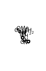 C=C/C=N\C(Oc1ccc(C(=O)c2nc3ccccc3[nH]2)cc1)=C(/N)N1CC[C@@H](C(=O)OC)C1